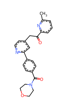 Cc1cccc(C(=O)Cc2ccnc(-c3ccc(C(=O)N4CCOCC4)cc3)c2)n1